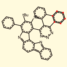 CC(C)(C)c1c(-c2ccccc2)c2c(c(-c3nnnc(-c4ccccc4)c3-c3ccccc3-c3ccccc3)c1C(C)(C)C)-c1c3c(ccc1=N2)=c1ccccc1=N3